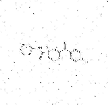 O=C(C1=CC(Cl)(C(=O)Nc2ccccc2)C=CN1)c1ccc(Cl)cc1